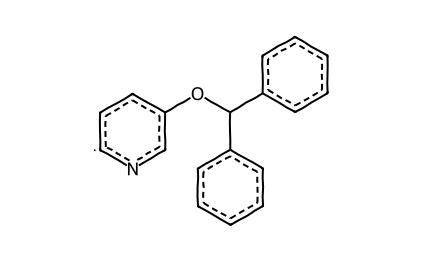 [c]1ccc(OC(c2ccccc2)c2ccccc2)cn1